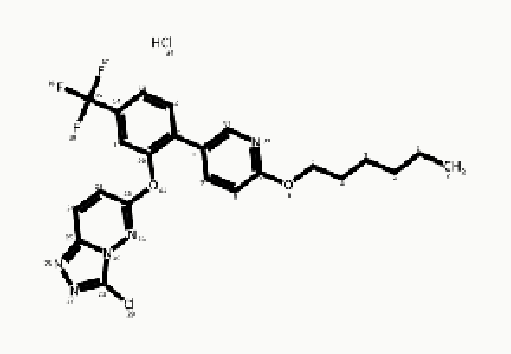 CCCCCCOc1ccc(-c2ccc(C(F)(F)F)cc2Oc2ccc3nnc(Cl)n3n2)cn1.Cl